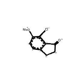 COc1ccc2c(c1Cl)C(=O)CC2